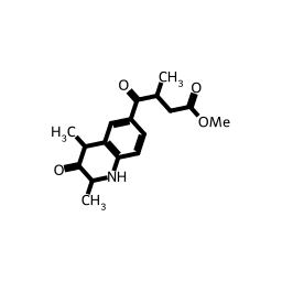 COC(=O)CC(C)C(=O)c1ccc2c(c1)C(C)C(=O)C(C)N2